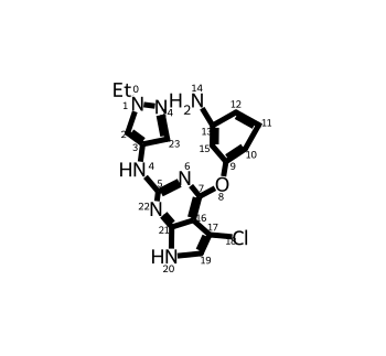 CCn1cc(Nc2nc(Oc3cccc(N)c3)c3c(Cl)c[nH]c3n2)cn1